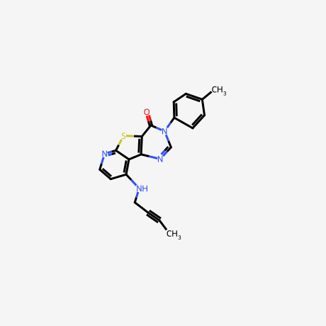 CC#CCNc1ccnc2sc3c(=O)n(-c4ccc(C)cc4)cnc3c12